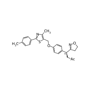 CC(=O)C[C@H](C1=NOCC1)c1ccc(OCc2sc(-c3ccc(C)cc3)nc2C)cc1